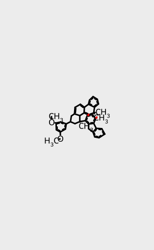 COc1cc(OC)cc(C2CC3=CC=C4C(=CC(C)(C)c5ccccc54)C3C(C)(c3cccc4c3Cc3ccccc3-4)C2)c1